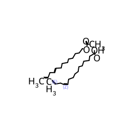 C/C=C/C/C=C\CCCCCCCCCC(=O)O.CC=CCC=CCCCCCCCCOC(C)=O